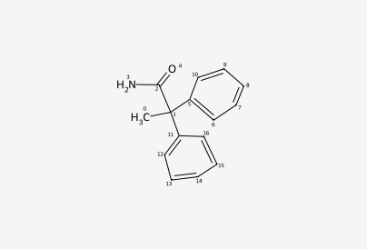 CC(C(N)=O)(c1ccccc1)c1ccccc1